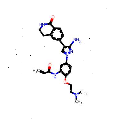 C=CC(=O)Nc1cc(-n2cc(-c3ccc4c(c3)CCNC4=O)c(N)n2)ccc1OCCN(C)C